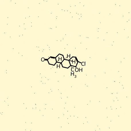 C[C@]12CC[C@H]3[C@@H](CCC4=CC(=O)CC[C@@H]43)[C@@H]1CC=C(Cl)C2O